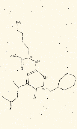 CC(C)CC(C)NC(=O)[C@@H](CC1CCCCC1)NC(=O)N[C@@H](CCCCN)C(=O)O